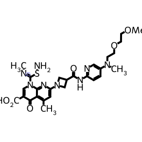 C/N=C(\SN)n1cc(C(=O)O)c(=O)c2c(C)cc(N3CC(C(=O)Nc4ccc(N(C)CCOCCOC)cn4)C3)nc21